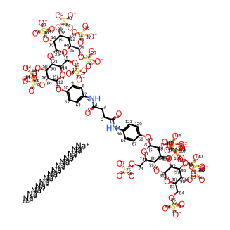 O=C(CCC(=O)Nc1ccc(O[C@@H]2O[C@H](COS(=O)(=O)[O-])[C@@H](O[C@H]3O[C@H](COS(=O)(=O)[O-])[C@@H](OS(=O)(=O)[O-])[C@H](OS(=O)(=O)[O-])[C@H]3OS(=O)(=O)[O-])[C@H](OS(=O)(=O)[O-])[C@H]2OS(=O)(=O)[O-])cc1)Nc1ccc(O[C@@H]2O[C@H](COS(=O)(=O)[O-])[C@@H](O[C@H]3O[C@H](COS(=O)(=O)[O-])[C@@H](OS(=O)(=O)[O-])[C@H](OS(=O)(=O)[O-])[C@H]3OS(=O)(=O)[O-])[C@H](OS(=O)(=O)[O-])[C@H]2OS(=O)(=O)[O-])cc1.[Na+].[Na+].[Na+].[Na+].[Na+].[Na+].[Na+].[Na+].[Na+].[Na+].[Na+].[Na+].[Na+].[Na+]